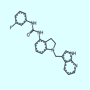 O=C(Nc1cccc(F)c1)Nc1cccc2c1CCN2Cc1c[nH]c2ncccc12